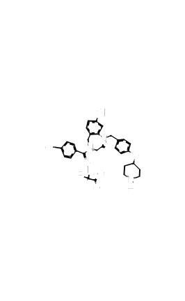 O=C(O)C(F)(F)F.O=C(c1ccc(Cl)cc1)N1CC(=O)N(Cc2ccc(OC3CCNCC3)cc2)c2cc(Cl)ccc2C1